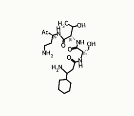 CC(=O)[C@H](CCN)NC(=O)[C@@H](NC(=O)[C@H](CO)NC(=O)CC(N)C1CCCCC1)C(C)O